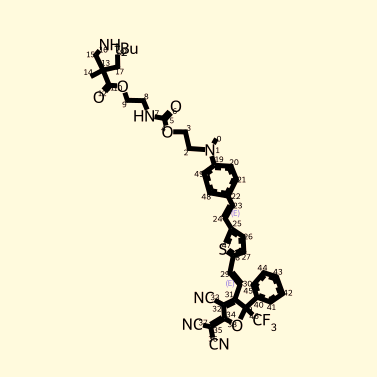 CN(CCOC(=O)NCCOC(=O)C(C)(CN)CC(C)(C)C)c1ccc(/C=C/c2ccc(/C=C/C3=C(C#N)C(=C(C#N)C#N)OC3(c3ccccc3)C(F)(F)F)s2)cc1